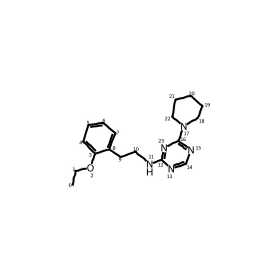 CCOc1ccccc1CCNc1ncnc(N2CCCCC2)n1